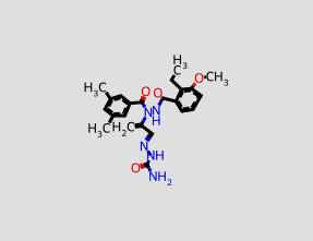 C=C(/C=N/NC(N)=O)N(NC(=O)c1cccc(OC)c1CC)C(=O)c1cc(C)cc(C)c1